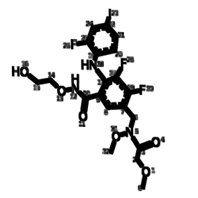 COCC(=O)N(Cc1cc(C(=O)NOCCO)c(Nc2ccc(I)cc2F)c(F)c1F)OC